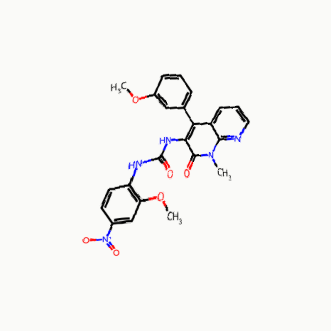 COc1cccc(-c2c(NC(=O)Nc3ccc([N+](=O)[O-])cc3OC)c(=O)n(C)c3ncccc23)c1